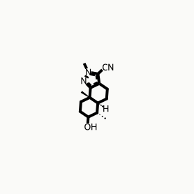 C[C@@H]1C(O)CC[C@]2(C)c3nn(C)c(C#N)c3CC[C@@H]12